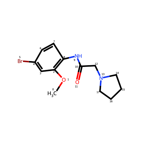 COc1cc(Br)ccc1NC(=O)CN1CCCC1